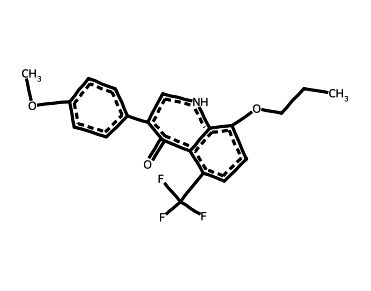 CCCOc1ccc(C(F)(F)F)c2c(=O)c(-c3ccc(OC)cc3)c[nH]c12